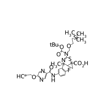 C#CCOc1cnc(C(=O)Nc2ccc(F)c([C@@]3(C)N=C(N(COCC[Si](C)(C)C)C(=O)OC(C)(C)C)S[C@@]4(C(=O)O)CC43)c2)cn1